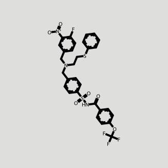 O=C(NS(=O)(=O)c1ccc(CN(CCSc2ccccc2)Cc2ccc(F)c([N+](=O)[O-])c2)cc1)c1ccc(OC(F)(F)F)cc1